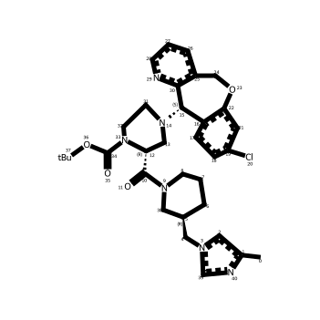 Cc1cn(C[C@@H]2CCCN(C(=O)[C@H]3CN([C@H]4c5ccc(Cl)cc5OCc5cccnc54)CCN3C(=O)OC(C)(C)C)C2)cn1